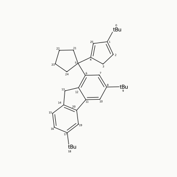 CC(C)(C)C1=CCC(C2(c3cc(C(C)(C)C)cc4c3Cc3ccc(C(C)(C)C)cc3-4)CCCC2)=C1